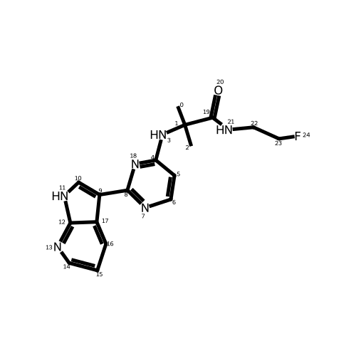 CC(C)(Nc1ccnc(-c2c[nH]c3ncccc23)n1)C(=O)NCCF